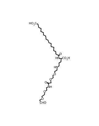 O=[C]COCCOCCNC(=O)COCCOCCNCCCC(NC(=O)CCCCCCCCCCCCCCCCC(=O)O)C(=O)O